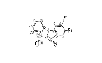 Fc1cc2c(cc1F)C1c3ccccc3C(Cl)C1C2Cl